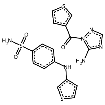 NS(=O)(=O)c1ccc(Nc2ccsc2)cc1.Nc1ncnn1C(=O)c1ccsc1